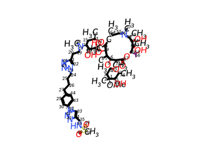 CO[C@]1(C)C[C@H](O[C@H]2C(C)[C@@H](O[C@@H]3O[C@H](C)C[C@H](N(C)CCc4cn(CCCCc5ccc(-n6cc(CNS(C)(=O)=O)nn6)cc5)nn4)[C@H]3O)[C@](C)(O)C[C@@H](C)CN(C)[C@H](C)[C@@H](O)[C@](C)(O)[C@@H](I)OC(=O)[C@@H]2C)O[C@@H](C)[C@@H]1O